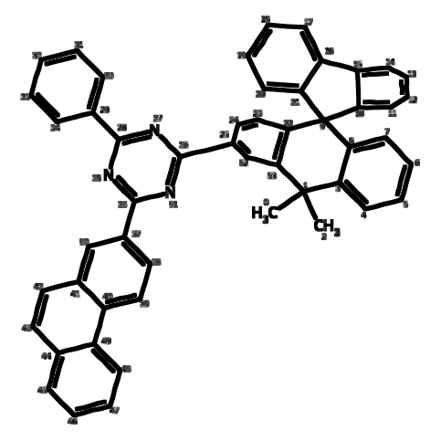 CC1(C)c2ccccc2C2(c3ccccc3-c3ccccc32)c2ccc(-c3nc(-c4ccccc4)nc(-c4ccc5c(ccc6ccccc65)c4)n3)cc21